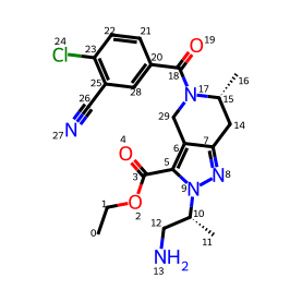 CCOC(=O)c1c2c(nn1[C@H](C)CN)C[C@@H](C)N(C(=O)c1ccc(Cl)c(C#N)c1)C2